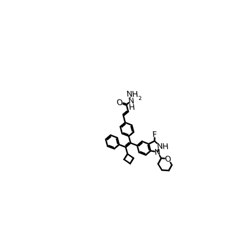 NNC(=O)/C=C/c1ccc(/C(=C(\c2ccccc2)C2CCC2)c2ccc3c(c2)C(F)NN3C2CCCCO2)cc1